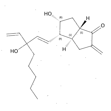 C=CC(O)(C=C[C@H]1[C@@H]2CC(=C)C(=O)[C@H]2C[C@H]1O)CCCCC